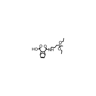 CCO[Si](C)(CCCNC(=O)C1C2C=CC(C2)C1C(=O)O)OCC